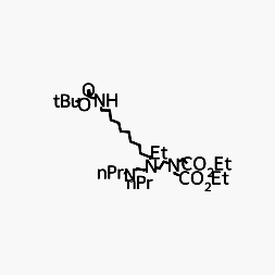 CCCN(CCC)CCN(CCN(CC(=O)OCC)CC(=O)OCC)C(CC)CCCCCCCCCNC(=O)OC(C)(C)C